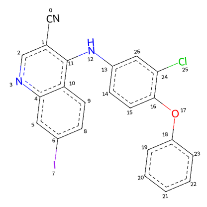 N#Cc1cnc2cc(I)ccc2c1Nc1ccc(Oc2ccccc2)c(Cl)c1